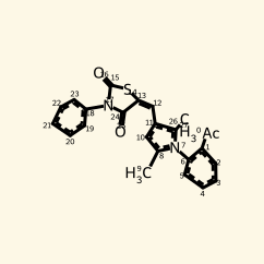 CC(=O)c1ccccc1-n1c(C)cc(C=C2SC(=O)N(c3ccccc3)C2=O)c1C